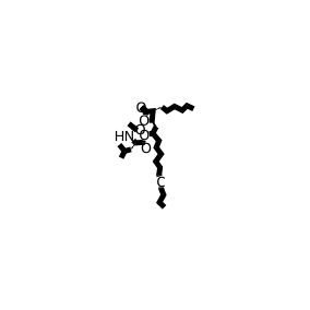 CCCCCCCCCCCC(C[C@H]1OC(=O)[C@@H]1CCCCCC)OC(=O)[C@H](CC(C)C)NC(C)=O